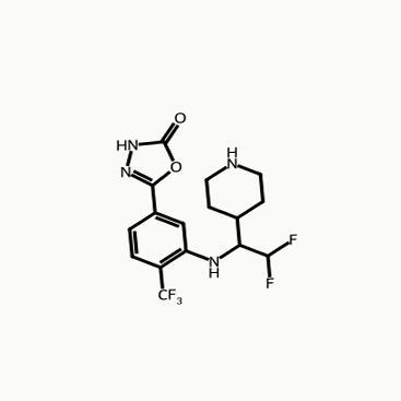 O=c1[nH]nc(-c2ccc(C(F)(F)F)c(NC(C(F)F)C3CCNCC3)c2)o1